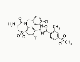 Cc1cc(S(C)(=O)=O)ccc1-c1nc(-c2cc3c(cc2F)S(=O)(=O)C[C@H](N)C(=O)N3Cc2ccc(Cl)cc2)no1